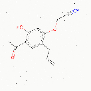 C=CCc1cc(C(C)=O)c(O)cc1OCC#N